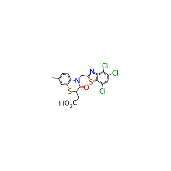 Cc1ccc2c(c1)SC(CC(=O)O)C(=O)N2Cc1nc2c(Cl)c(Cl)cc(Cl)c2s1